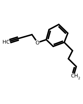 C#CCOc1cccc(CCC=C)c1